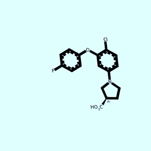 O=C(O)[C@@H]1CCN(c2ccc(Cl)c(Oc3ccc(F)cc3)c2)C1